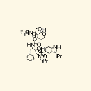 CC(C)CN(C[C@@H](O)[C@H](Cc1ccccc1)NC(=O)O[C@H]1CCO[C@H]2OC[C@H](NCC(F)(F)F)[C@H]21)S(=O)(=O)c1ccc2[nH]cc(C(C)C)c2c1